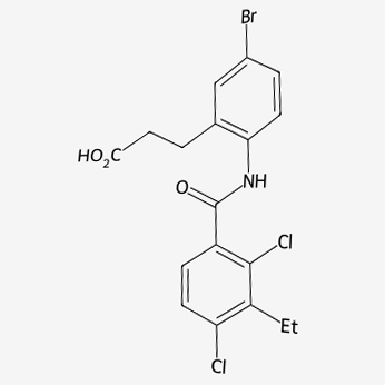 CCc1c(Cl)ccc(C(=O)Nc2ccc(Br)cc2CCC(=O)O)c1Cl